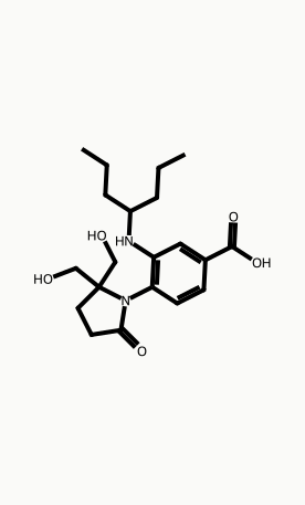 CCCC(CCC)Nc1cc(C(=O)O)ccc1N1C(=O)CCC1(CO)CO